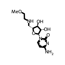 COCCNC[C@H]1O[C@@H](n2ccc(N)nc2=O)[C@@H](O)[C@@H]1O